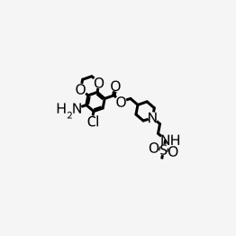 CS(=O)(=O)NCCN1CCC(COC(=O)c2cc(Cl)c(N)c3c2OCCO3)CC1